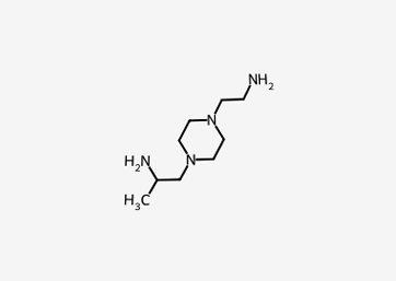 CC(N)CN1CCN(CCN)CC1